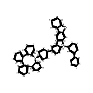 c1ccc(-c2cccc(-n3c4ccc(-c5ccc(-n6c7ccccc7c7ccccc7c7ccccc7c7ccccc76)cc5)cc4c4cc5c(cc43)oc3ccccc35)c2)cc1